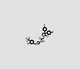 O=C(CN1CCC(c2ccc(F)cc2)(c2ccc(F)cc2)C1=O)NC1CN(Cc2ccc(C(F)(F)F)c(F)c2)C1